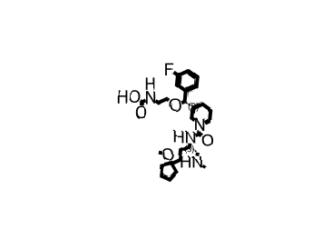 CNC[C@H](CCC1(OC)CCCC1)NC(=O)N1CCC[C@@H](C(OCCNC(=O)O)c2cccc(F)c2)C1